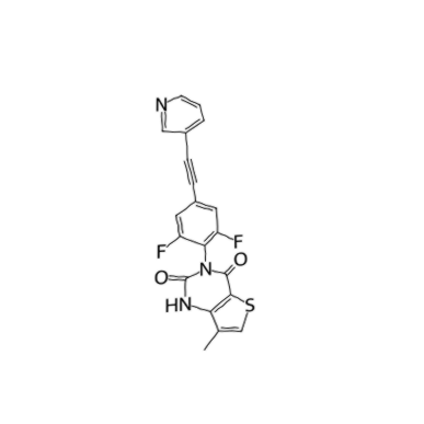 Cc1csc2c(=O)n(-c3c(F)cc(C#Cc4cccnc4)cc3F)c(=O)[nH]c12